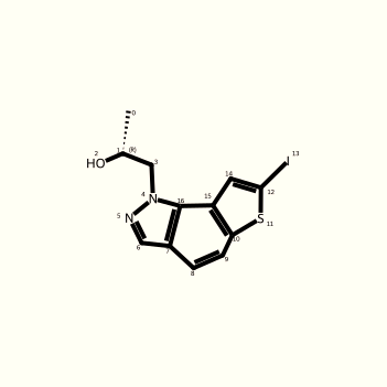 C[C@@H](O)Cn1ncc2ccc3sc(I)cc3c21